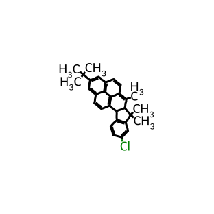 CC1=c2ccc3cc(C(C)(C)C)cc4ccc(c2c43)C2c3ccc(Cl)cc3C(C)(C)C12